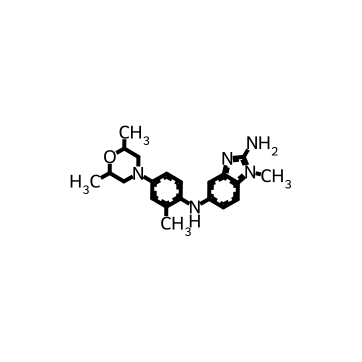 Cc1cc(N2CC(C)OC(C)C2)ccc1Nc1ccc2c(c1)nc(N)n2C